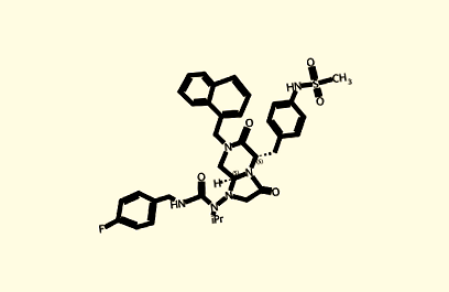 CC(C)N(C(=O)NCc1ccc(F)cc1)N1CC(=O)N2[C@@H](Cc3ccc(NS(C)(=O)=O)cc3)C(=O)N(Cc3cccc4ccccc34)C[C@@H]21